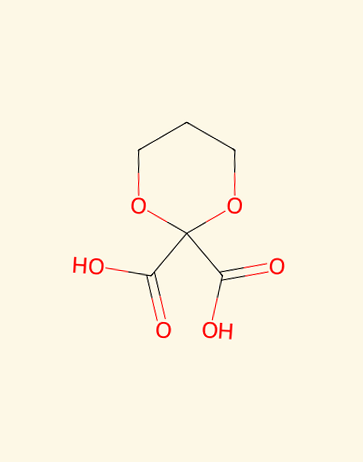 O=C(O)C1(C(=O)O)OCCCO1